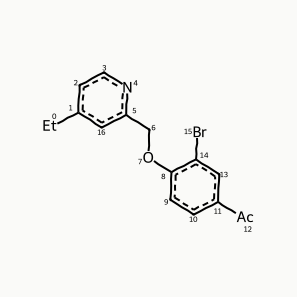 CCc1ccnc(COc2ccc(C(C)=O)cc2Br)c1